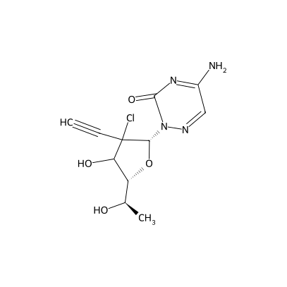 C#CC1(Cl)C(O)[C@@H]([C@@H](C)O)O[C@H]1n1ncc(N)nc1=O